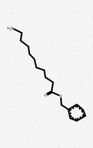 NCCCCCCCCCC(=O)OCc1ccccc1